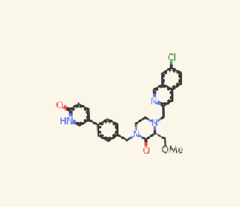 COC[C@H]1C(=O)N(Cc2ccc(-c3ccc(=O)[nH]c3)cc2)CCN1Cc1cc2ccc(Cl)cc2cn1